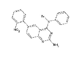 Nc1nc(N(Br)c2ccccc2)c2cc(-c3ccccc3[N+](=O)[O-])ccc2n1